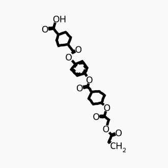 C=CC(=O)OCC(=O)OC1CCC(C(=O)Oc2ccc(OC(=O)C3CCC(C(=O)O)CC3)cc2)CC1